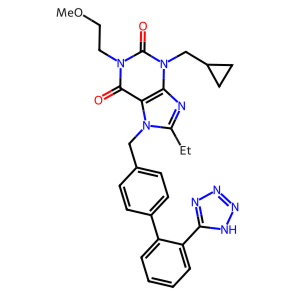 CCc1nc2c(c(=O)n(CCOC)c(=O)n2CC2CC2)n1Cc1ccc(-c2ccccc2-c2nnn[nH]2)cc1